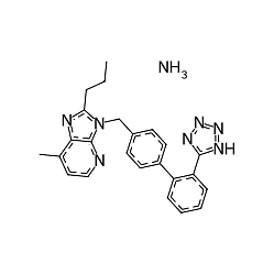 CCCc1nc2c(C)ccnc2n1Cc1ccc(-c2ccccc2-c2nnn[nH]2)cc1.N